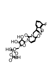 O=c1ccn([C@@H]2O[C@H](COP(=O)(O)O[PH](=O)O)[C@H](O)C2O)c(=O)n1Cc1noc2c(F)cccc12